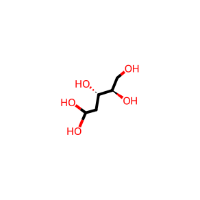 OC[C@@H](O)[C@@H](O)CC(O)O